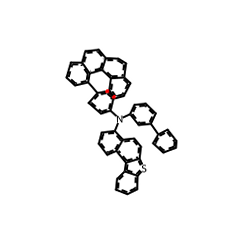 c1ccc(-c2cccc(N(c3ccc(-c4cccc5ccc6ccc7ccccc7c6c45)cc3)c3cccc4c3ccc3sc5ccccc5c34)c2)cc1